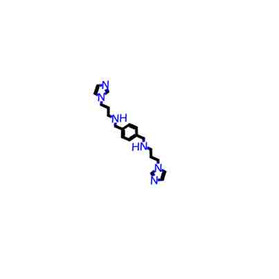 c1cn(CCCNCc2ccc(CNCCCn3ccnc3)cc2)cn1